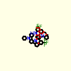 CC/C=C\C1=C(c2ccccc2Nc2cc(-n3c4ccccc4c4ccc5c(c6ccccc6n5-c5ccccc5)c43)c(-c3cccc(C(F)(F)F)c3)c(CC)c2-c2cccc(C(F)(F)F)c2)C2C=CC=CC2N1c1ccccc1